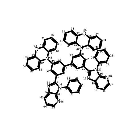 c1ccc(-n2c(-c3cc(-c4cc(-c5nc6cccnc6n5-c5ccccc5)cc(N5c6ccccc6Oc6ccccc65)c4)cc(N4c5ccccc5Oc5ccccc54)c3)nc3cccnc32)cc1